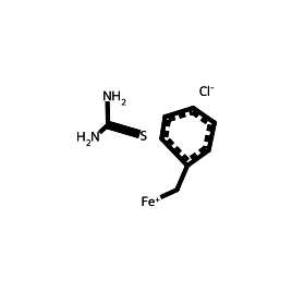 NC(N)=S.[Cl-].[Fe+][CH2]c1ccccc1